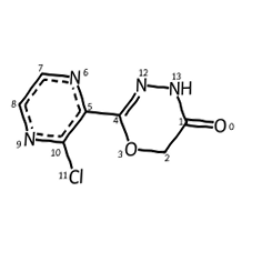 O=C1COC(c2nccnc2Cl)=NN1